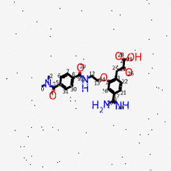 CN(C)C(=O)c1ccc(C(=O)NCCOc2cc(C(=N)N)ccc2CC(=O)C(=O)O)cc1